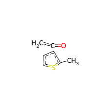 C=C=O.Cc1cccs1